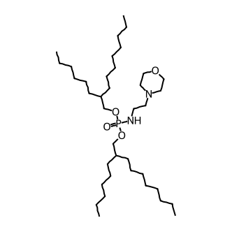 CCCCCCCCC(CCCCCC)COP(=O)(NCCN1CCOCC1)OCC(CCCCCC)CCCCCCCC